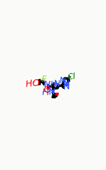 CC(C)(O)[C@H](F)CNC(=O)c1cnc(-c2cnn3cc(Cl)cnc23)cc1NC12CC(C1)C2